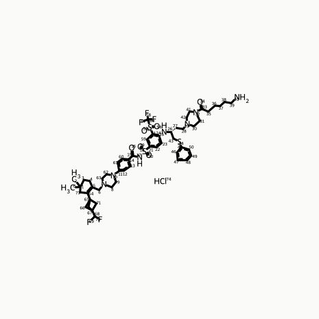 CC1(C)CCC(CN2CCN(c3ccc(C(=O)NS(=O)(=O)c4ccc(N[C@H](CCN5CCN(C(=O)CCCCCN)CC5)CSc5ccccc5)c(S(=O)(=O)C(F)(F)F)c4)cc3)CC2)=C(C23CC(C(F)F)(C2)C3)C1.Cl